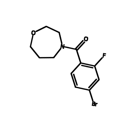 O=C(c1ccc(Br)cc1F)N1CCCOCC1